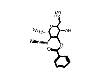 CS[C@@H]1OC(CO)[C@@H](O)C(OC(=O)c2ccccc2)[C@H]1N=[N+]=[N-]